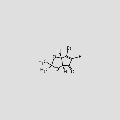 CCC1=C(F)C(=O)[C@@H]2OC(C)(C)O[C@H]12